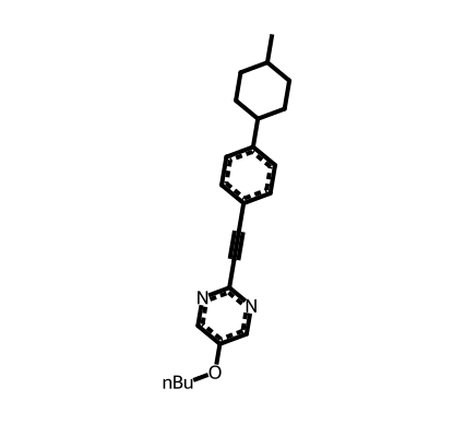 CCCCOc1cnc(C#Cc2ccc(C3CCC(C)CC3)cc2)nc1